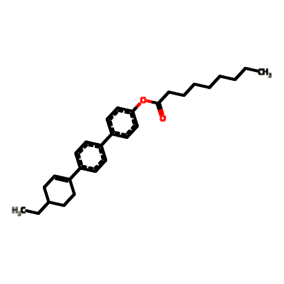 CCCCCCCCC(=O)Oc1ccc(-c2ccc(C3=CCC(CC)CC3)cc2)cc1